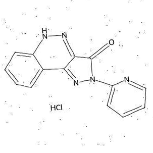 Cl.O=c1c2n[nH]c3ccccc3c-2nn1-c1ccccn1